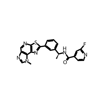 C[C@H](NC(=O)c1ccnc(F)c1)c1cccc(-c2nc3c(ncc4ncn(C)c43)s2)c1